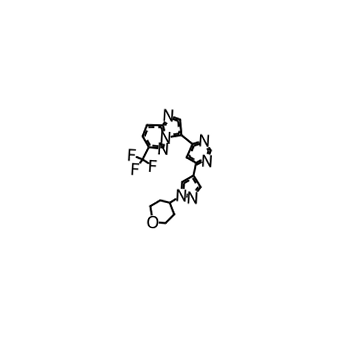 FC(F)(F)c1ccc2ncc(-c3cc(-c4cnn(C5CCOCC5)c4)ncn3)n2n1